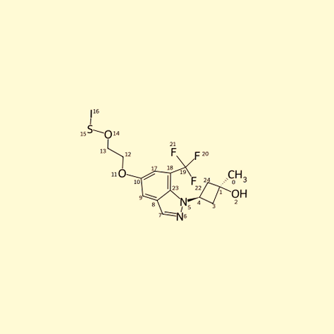 C[C@]1(O)C[C@@H](n2ncc3cc(OCCOSI)cc(C(F)(F)F)c32)C1